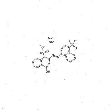 O=S(=O)([O-])c1ccc(N=Nc2cc(O)c3ccccc3c2S(=O)(=O)[O-])c2ccccc12.[Na+].[Na+]